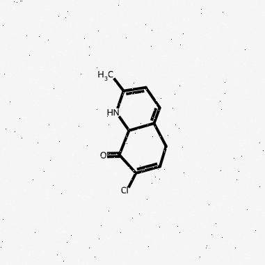 CC1=CC=C2CC=C(Cl)C(=O)C2N1